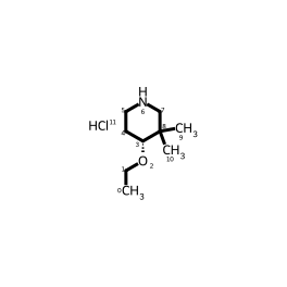 CCO[C@@H]1CCNCC1(C)C.Cl